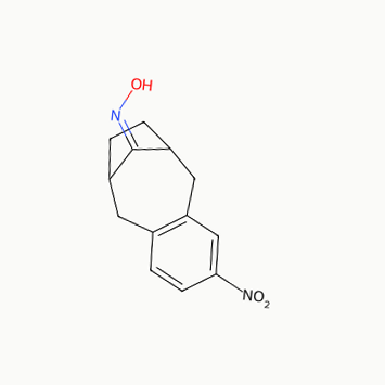 O=[N+]([O-])c1ccc2c(c1)CC1CCC(C2)/C1=N/O